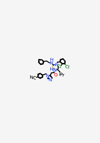 CC(C)CC(CN(Cc1cccc(Cl)c1Cl)C(=S)NCCc1ccccc1)NC(=O)Cc1cncn1Cc1ccc(C#N)cc1